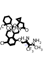 CN(N)/C(=C(\N)COc1ccc(Cl)c2c1C(CN1CC3(CC3)CC1=O)N(C(=O)[C@@H]1CCCC[C@]1(C)C(=O)O)CC2)C(F)(F)F